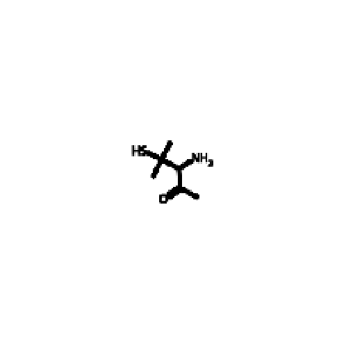 CC(=O)C(N)C(C)(C)S